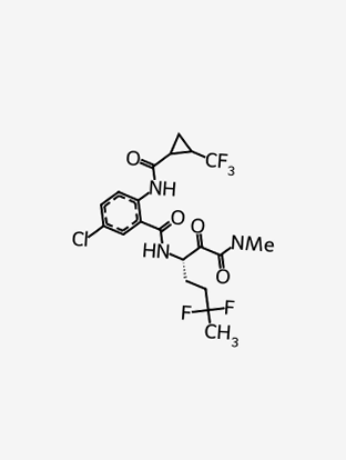 CNC(=O)C(=O)[C@H](CCC(C)(F)F)NC(=O)c1cc(Cl)ccc1NC(=O)C1CC1C(F)(F)F